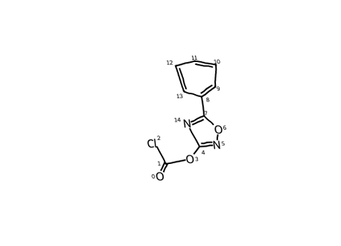 O=C(Cl)Oc1noc(-c2ccccc2)n1